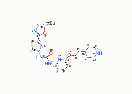 CC(C)(C)c1cnc(-c2nc(NC(=O)Nc3cccc(OCCC4CCNCC4)n3)cs2)o1